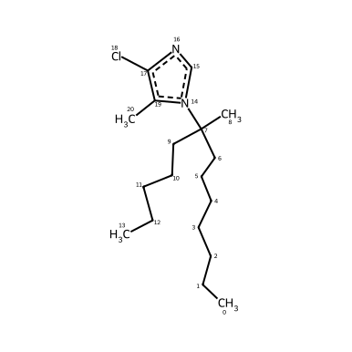 CCCCCCCC(C)(CCCCC)n1cnc(Cl)c1C